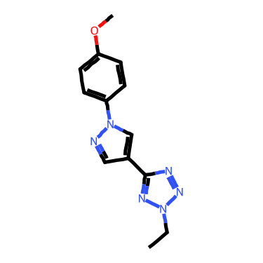 CCn1nnc(-c2cnn(-c3ccc(OC)cc3)c2)n1